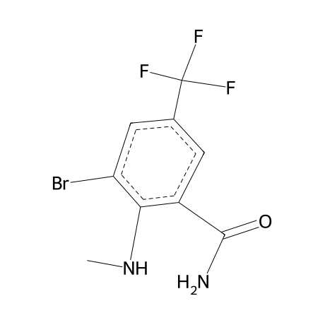 CNc1c(Br)cc(C(F)(F)F)cc1C(N)=O